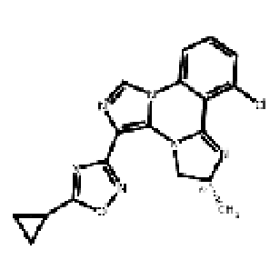 C[C@@H]1CN2C(=N1)c1c(Cl)cccc1-n1cnc(-c3noc(C4CC4)n3)c12